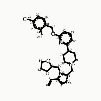 C=Cc1cnc(CN2CCC(c3cccc(OCc4ccc(Cl)cc4F)n3)CC2)n1CC1CCCO1